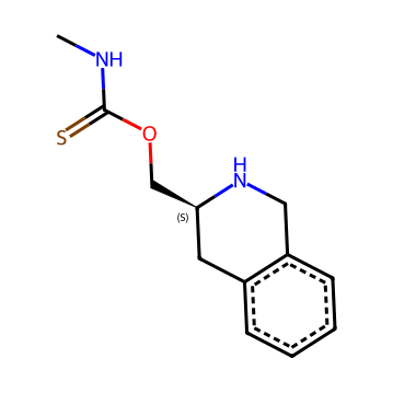 CNC(=S)OC[C@@H]1Cc2ccccc2CN1